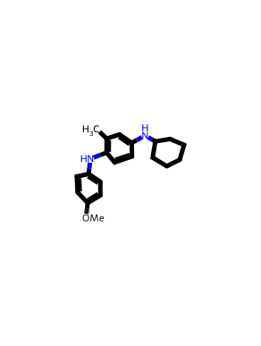 COc1ccc(Nc2ccc(NC3CCCCC3)cc2C)cc1